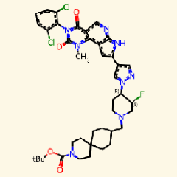 Cn1c(=O)n(-c2c(Cl)cccc2Cl)c(=O)c2cnc3[nH]c(-c4cnn([C@@H]5CCN(CC6CCC7(CC6)CCN(C(=O)OC(C)(C)C)CC7)C[C@@H]5F)c4)cc3c21